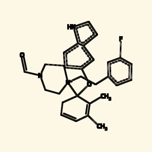 CC1=C(C)C(Oc2ccc3[nH]ccc3c2)([N+]2(CCc3cccc(F)c3)CCN(C=O)CC2)CC=C1